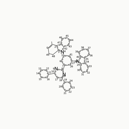 C1=Cc2c(n(-c3cc(-c4nc(-c5ccccc5)cc(-c5ccccc5)n4)cc(-n4c5ccccc5c5ccccc54)c3)c3ccccc23)CC1